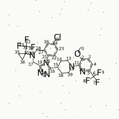 COc1ccc(C(F)(F)F)nc1N1CCC(c2nnc3n2-c2ccc(Cl)cc2CN(C2(C(F)(F)F)CC2)C3)CC1